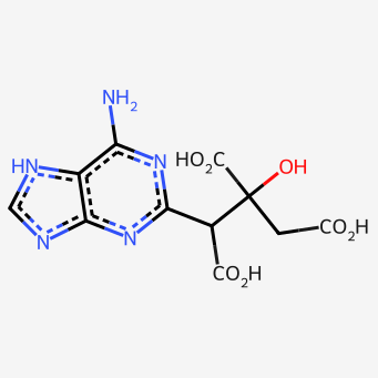 Nc1nc(C(C(=O)O)C(O)(CC(=O)O)C(=O)O)nc2nc[nH]c12